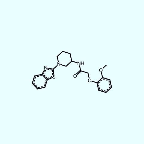 COc1ccccc1OCC(=O)NC1CCCN(c2nc3ccccc3s2)C1